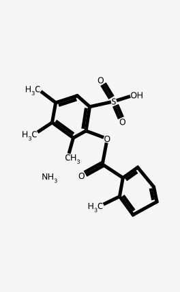 Cc1ccccc1C(=O)Oc1c(S(=O)(=O)O)cc(C)c(C)c1C.N